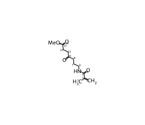 C=C(C)C(=O)NCCCC(=O)CCC(=O)OC